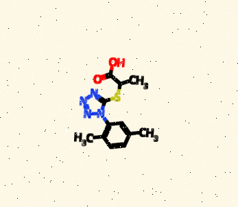 Cc1ccc(C)c(-n2nnnc2SC(C)C(=O)O)c1